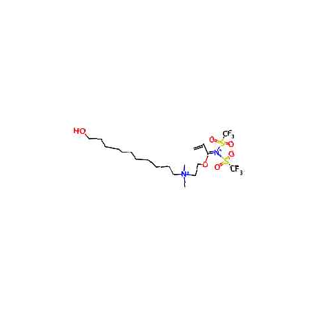 C=CC(OCC[N+](C)(C)CCCCCCCCCCCO)=[N+](S(=O)(=O)C(F)(F)F)S(=O)(=O)C(F)(F)F